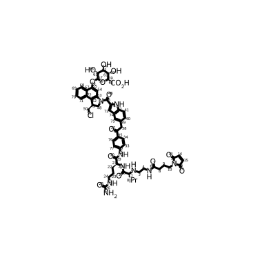 CC(C)[C@H](NCCNC(=O)CCCN1C(=O)C=CC1=O)C(=O)N[C@@H](CCCNC(N)=O)C(=O)Nc1ccc(C(=O)Cc2ccc3[nH]c(C(=O)N4C[C@@H](CCl)c5c4cc(OC4O[C@H](C(=O)O)[C@@H](O)[C@H](O)[C@H]4O)c4ccccc54)cc3c2)cc1